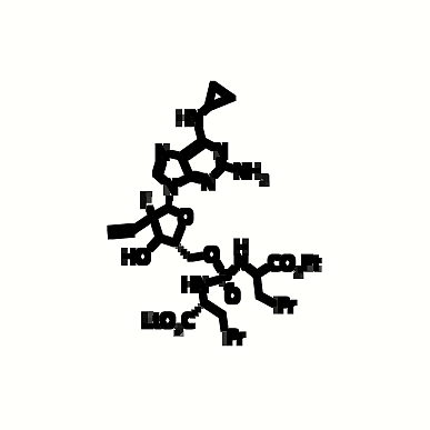 C#CC1(F)C(O)[C@@H](COP(=O)(NC(CC(C)C)C(=O)OCC)N[C@H](CC(C)C)C(=O)OCC)O[C@H]1n1cnc2c(NC3CC3)nc(N)nc21